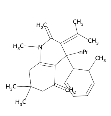 C=C1CC(C)(C)CC2=C1C(CCC)(C1C=CC=CC1C)C(=C(C)C)C(=C)N2C